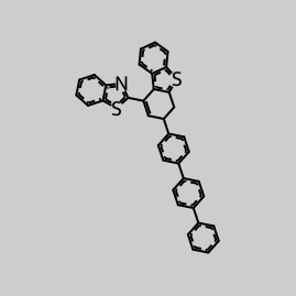 C1=C(c2nc3ccccc3s2)c2c(sc3ccccc23)CC1c1ccc(-c2ccc(-c3ccccc3)cc2)cc1